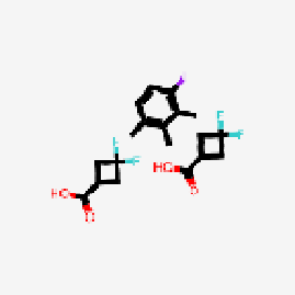 Cc1ccc(I)c(C)c1C.O=C(O)C1CC(F)(F)C1.O=C(O)C1CC(F)(F)C1